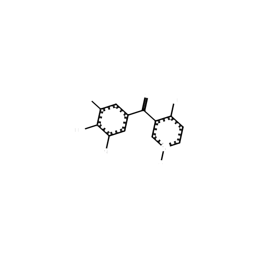 O=C(c1cc(O)c(O)c([N+](=O)[O-])c1)c1c[n+]([O-])ccc1C(F)(F)F